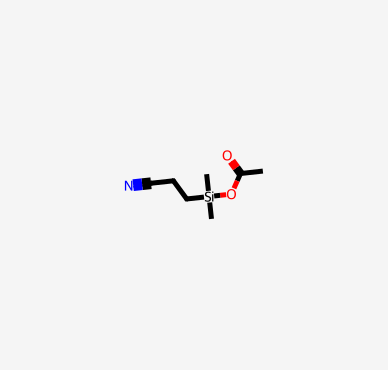 CC(=O)O[Si](C)(C)CCC#N